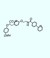 COc1ccc(OC(Cc2ccc(OCCNC(=O)c3ccc(-c4ccccn4)cc3)cc2)C(=O)O)cc1